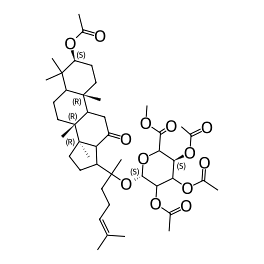 COC(=O)C1O[C@@H](OC(C)(CCC=C(C)C)C2CC[C@]3(C)C2C(=O)CC2[C@@]4(C)CC[C@H](OC(C)=O)C(C)(C)C4CC[C@]23C)C(OC(C)=O)C(OC(C)=O)[C@@H]1OC(C)=O